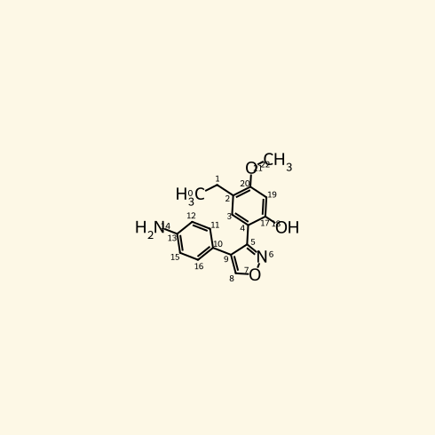 CCc1cc(-c2nocc2-c2ccc(N)cc2)c(O)cc1OC